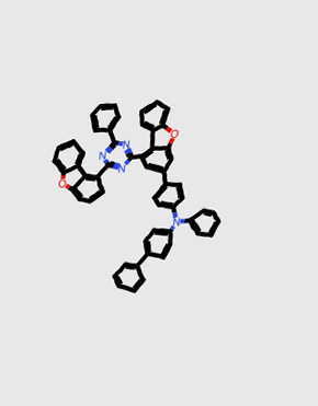 c1ccc(-c2ccc(N(c3ccccc3)c3ccc(-c4cc(-c5nc(-c6ccccc6)nc(-c6cccc7oc8ccccc8c67)n5)c5c(c4)oc4ccccc45)cc3)cc2)cc1